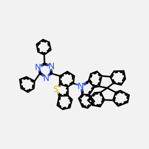 c1ccc(-c2nc(-c3ccccc3)nc(-c3ccc(-n4c5ccccc5c5c6c(ccc54)-c4ccccc4C64c5ccccc5-c5ccccc54)c4c3sc3ccccc34)n2)cc1